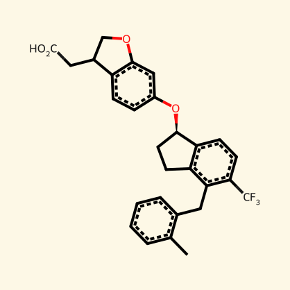 Cc1ccccc1Cc1c(C(F)(F)F)ccc2c1CC[C@H]2Oc1ccc2c(c1)OCC2CC(=O)O